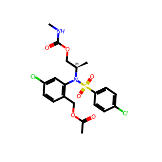 CNC(=O)OC[C@@H](C)N(c1cc(Cl)ccc1COC(C)=O)S(=O)(=O)c1ccc(Cl)cc1